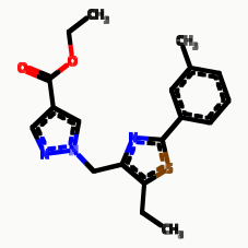 CCOC(=O)c1cnn(Cc2nc(-c3cccc(C)c3)sc2CC)c1